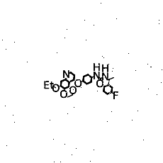 CCOc1cc2nccc(Oc3ccc(NC(=O)NC(C)c4cccc(F)c4)cc3)c2c2c1OCCO2